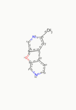 Cc1cc2c(cn1)oc1cnccc12